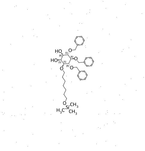 C[Si](C)(C)OCCCCCCCO[C@H]1[C@@H](O)[C@@H](O)[C@H](OCc2ccccc2)[C@@H](OCc2ccccc2)[C@@H]1OCc1ccccc1